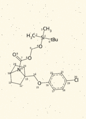 CC(C)(C)[Si](C)(C)OCOC(=O)N1C2CCC1(COc1ccc(Cl)cc1)CC2